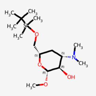 CO[C@@H]1O[C@H](CO[Si](C)(C)C(C)(C)C)C[C@H](N(C)C)[C@H]1O